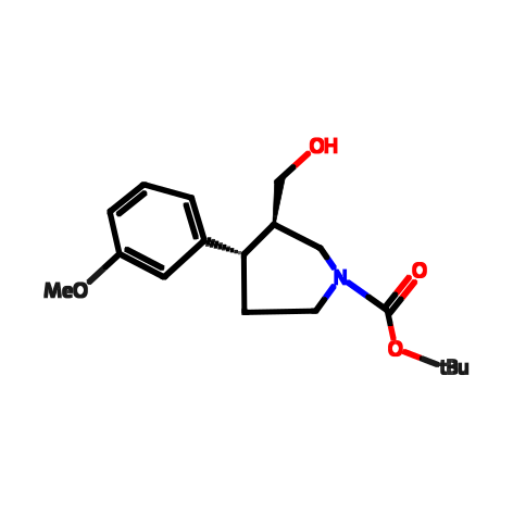 COc1cccc([C@H]2CCN(C(=O)OC(C)(C)C)C[C@@H]2CO)c1